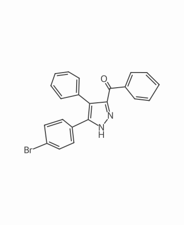 O=C(c1ccccc1)c1n[nH]c(-c2ccc(Br)cc2)c1-c1ccccc1